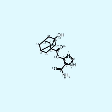 NC(=O)c1[nH]cnc1OC(=O)C12CC3CC(CC(O)(C3)C1)C2